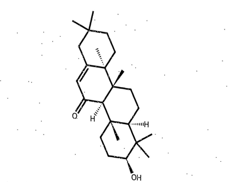 CC1(C)CC[C@]2(C)C(=CC(=O)[C@@H]3[C@@]4(C)CC[C@H](O)C(C)(C)[C@@H]4CC[C@]32C)C1